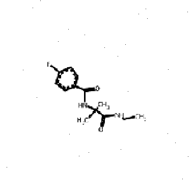 CCNC(=O)C(C)(C)NC(=O)c1ccc(F)cc1